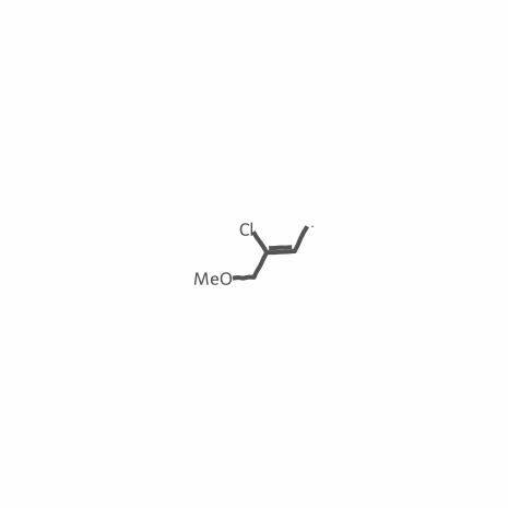 [CH2]/C=C(\Cl)COC